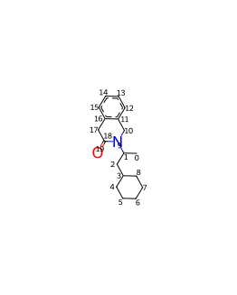 CC(CC1CCCCC1)N1Cc2ccccc2CC1=O